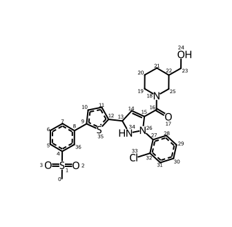 CS(=O)(=O)c1cccc(-c2ccc(C3C=C(C(=O)N4CCCC(CO)C4)N(c4ccccc4Cl)N3)s2)c1